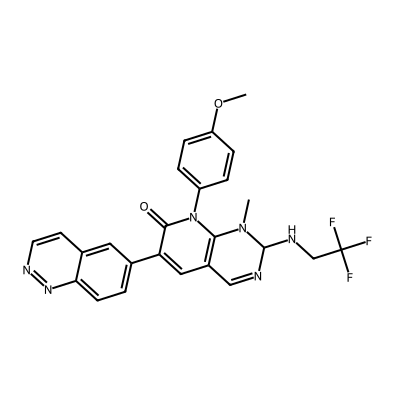 COc1ccc(-n2c3c(cc(-c4ccc5nnccc5c4)c2=O)C=NC(NCC(F)(F)F)N3C)cc1